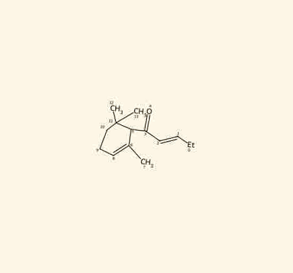 CC/C=C/C(=O)C1C(C)=CCCC1(C)C